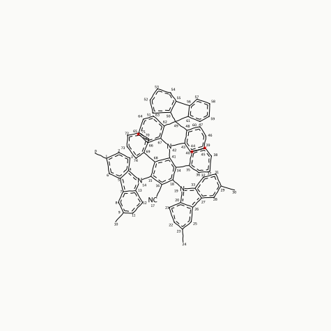 Cc1ccc2c(c1)c1cc(C)ccc1n2-c1c(C#N)c(-n2c3ccc(C)cc3c3cc(C)ccc32)c(-c2ccccc2)c(N2c3ccccc3C3(c4ccccc4-c4ccccc43)c3ccccc32)c1-c1ccccc1